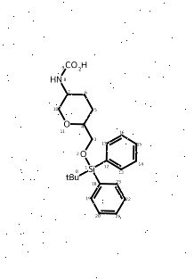 CC(C)(C)[Si](OCC1CCC(NC(=O)O)CO1)(c1ccccc1)c1ccccc1